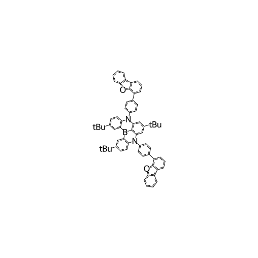 CC(C)(C)c1ccc2c(c1)B1c3cc(C(C)(C)C)ccc3N(c3ccc(-c4cccc5c4oc4ccccc45)cc3)c3cc(C(C)(C)C)cc(c31)N2c1ccc(-c2cccc3c2oc2ccccc23)cc1